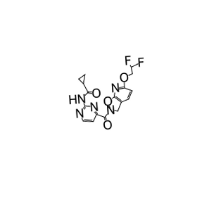 O=C(Nc1nccc(C(=O)N2Cc3ccc(OCC(F)F)nc3O2)n1)C1CC1